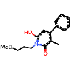 COCCCn1c(O)cc(-c2ccccc2)c(C)c1=O